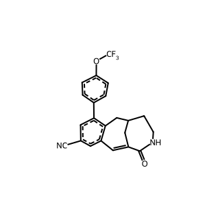 N#Cc1cc2c(c(-c3ccc(OC(F)(F)F)cc3)c1)CC1CCNC(=O)C(=C2)C1